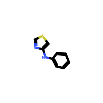 [c]1nc(Nc2ccccc2)cs1